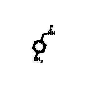 Bc1ccc(CNF)cc1